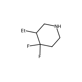 CCC1CNCCC1(F)F